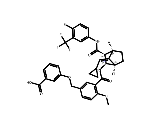 COc1ccc(COc2cccc(C(=O)O)c2)cc1C(=O)N[C@H]1[C@@H](C(=O)Nc2ccc(F)c(C(F)(F)F)c2)[C@H]2CC[C@@H]1/C2=C\C1CC1